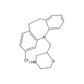 FC(F)(F)c1ccc2c(c1)N(CC1CNCCO1)c1ccccc1CC2